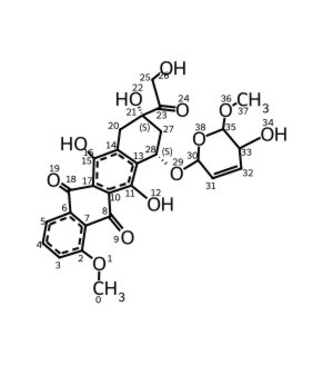 COc1cccc2c1C(=O)c1c(O)c3c(c(O)c1C2=O)C[C@@](O)(C(=O)CO)C[C@@H]3OC1C=CC(O)C(OC)O1